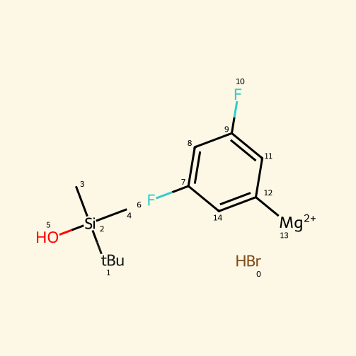 Br.CC(C)(C)[Si](C)(C)O.Fc1cc(F)c[c]([Mg+2])c1